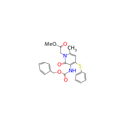 COC(=O)Cn1c(C)cc(Sc2ccccc2)c(NC(=O)OCc2ccccc2)c1=O